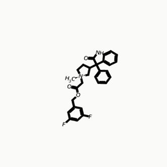 C[N@+]1(CC(=O)OCc2cc(F)cc(F)c2)CCC(C(C(N)=O)(c2ccccc2)c2ccccc2)C1